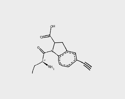 C#Cc1ccc2c(c1)CC(C(=O)O)N2C(=O)[C@@H](N)CC